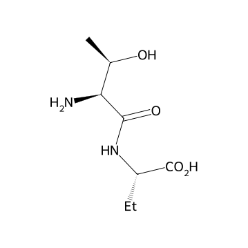 CC[C@H](NC(=O)[C@@H](N)[C@@H](C)O)C(=O)O